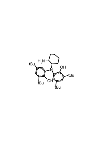 CC(C)(C)c1cc(N(c2cc(C(C)(C)C)cc(C(C)(C)C)c2O)[C@@H]2CCCC[C@H]2N)c(O)c(C(C)(C)C)c1